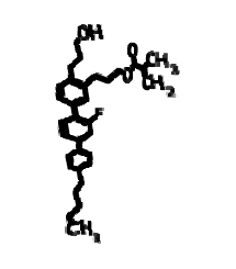 C=C(C)C(=O)OCCCc1cc(-c2ccc(-c3ccc(CCCCC)cc3)cc2F)ccc1CCCO